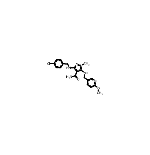 COc1ccc(CNc2c(C(N)=O)c(NCc3ccc(Cl)cc3)nn2C)cn1